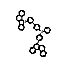 c1ccc(N(c2ccc(-c3cccc(-n4c5ccccc5c5ccc6ccccc6c54)c3)cc2)c2ccc(-c3cc4ccccc4c4c3ccc3ccccc34)cc2)cc1